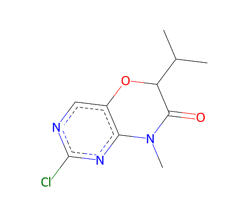 CC(C)C1Oc2cnc(Cl)nc2N(C)C1=O